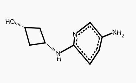 Nc1ccc(N[C@H]2C[C@@H](O)C2)nc1